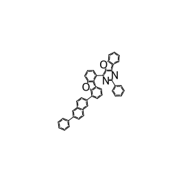 c1ccc(-c2ccc3cc(-c4cccc5c4oc4cccc(-c6nc(-c7ccccc7)nc7c6oc6ccccc67)c45)ccc3c2)cc1